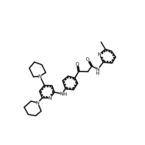 Cc1cccc(NC(=O)CC(=O)c2ccc(Nc3cc(N4CCCCC4)cc(N4CCCCC4)n3)cc2)n1